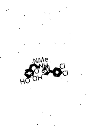 CNC(Cc1ccc(O)c(O)c1)C(=O)Nc1nc(-c2ccc(Cl)c(Cl)c2)cs1